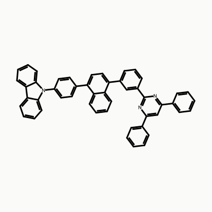 c1ccc(-c2cc(-c3ccccc3)nc(-c3cccc(-c4ccc(-c5ccc(-n6c7ccccc7c7ccccc76)cc5)c5ccccc45)c3)n2)cc1